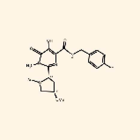 CO[C@@H]1C[C@H](c2nc(C(=O)NCc3ccc(F)cc3)c(O)c(=O)n2C)N(C(C)=O)C1